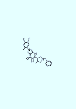 Cc1cc(F)c(F)cc1N1C=C2N=C(C3CN(Cc4ccccc4)CC3C)NC(=O)N2C1